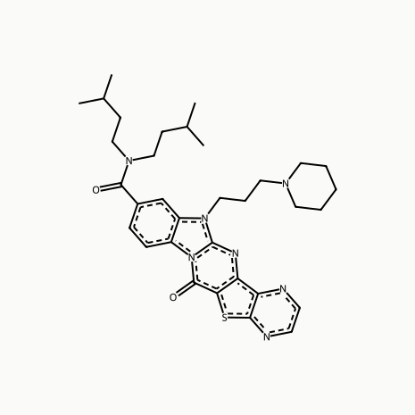 CC(C)CCN(CCC(C)C)C(=O)c1ccc2c(c1)n(CCCN1CCCCC1)c1nc3c(sc4nccnc43)c(=O)n21